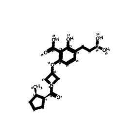 C[C@@H]1CCC[C@@H]1C(=O)N1CC(Oc2ccc(CCB(O)O)c(O)c2C(=O)O)C1